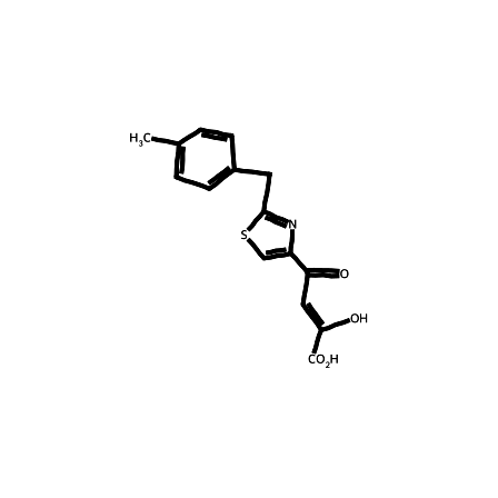 Cc1ccc(Cc2nc(C(=O)/C=C(\O)C(=O)O)cs2)cc1